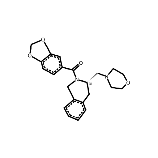 O=C(c1ccc2c(c1)OCO2)N1Cc2ccccc2C[C@H]1CN1CCOCC1